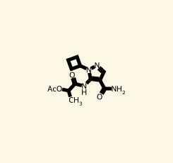 CC(=O)OC(C)C(=O)Nc1c(C(N)=O)cnn1C1CCC1